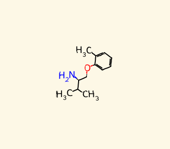 Cc1ccccc1OC[C@H](N)C(C)C